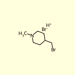 CN1CCC(CBr)CC1.[Br-].[H+]